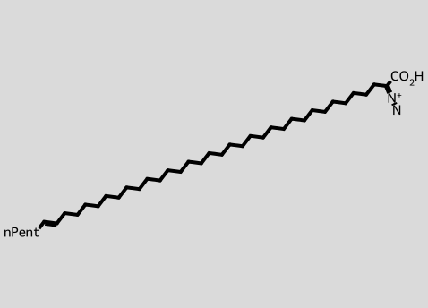 CCCCCC=CCCCCCCCCCCCCCCCCCCCCCCCCCCCCCCCC(=[N+]=[N-])C(=O)O